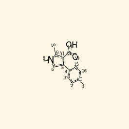 Cc1ccc(-c2cn(C)c(C)c2C(=O)O)cc1